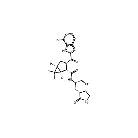 CC1(C)[C@@H]2[C@@H](C(=O)N[C@H](CO)C[C@@H]3CCNC3=O)N(C(=O)c3cc4cccc(F)c4[nH]3)C[C@@H]21